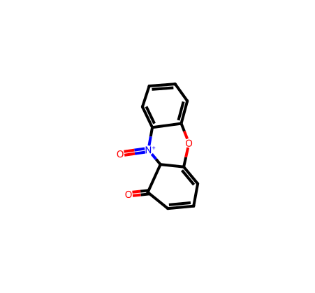 O=C1C=CC=C2Oc3ccccc3[N+](=O)C12